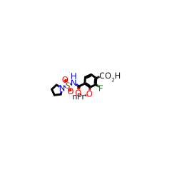 CCCOc1c(C(=O)NS(=O)(=O)N2CCCC2)ccc(C(=O)O)c1F